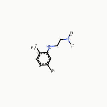 CCN(CC)CCNc1cc(C(C)C)ccc1C